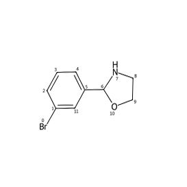 Brc1cccc(C2NCCO2)c1